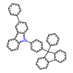 c1ccc(-c2ccc3c(c2)c2ccccc2n3-c2ccc(C3(c4ccccc4)c4ccccc4-c4ccccc43)cc2)cc1